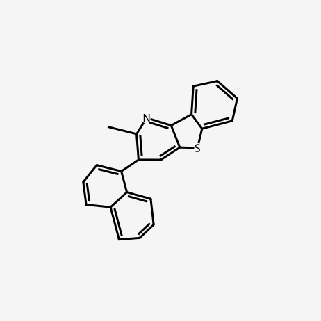 Cc1nc2c(cc1-c1cccc3ccccc13)sc1ccccc12